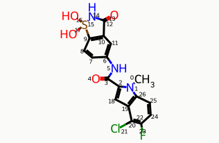 Cn1c(C(=O)Nc2ccc3c(c2)C(=O)NS3(O)O)cc2c(Cl)c(F)ccc21